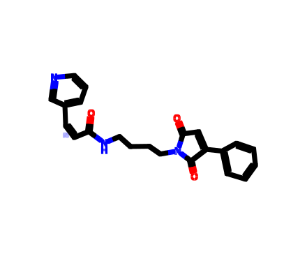 O=C(/C=C\c1cccnc1)NCCCCN1C(=O)C=C(c2ccccc2)C1=O